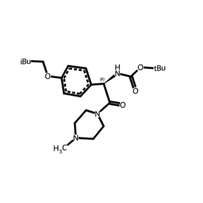 CCC(C)COc1ccc([C@@H](NC(=O)OC(C)(C)C)C(=O)N2CCN(C)CC2)cc1